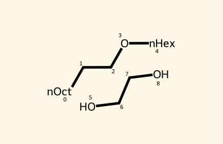 CCCCCCCCCCOCCCCCC.OCCO